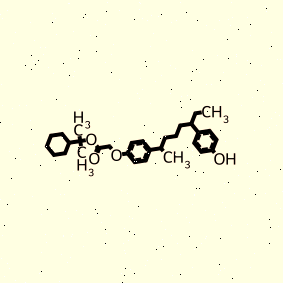 CCC(CCCC(C)c1ccc(OCC(=O)OC(C)(C)C2CCCCC2)cc1)c1ccc(O)cc1